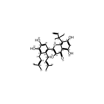 C=CC(C)(C)c1c(O)cc(O)c2c(=O)c(O)c(-c3cc(O)c(O)c(CC=C(C)C)c3CC=C(C)C)oc12